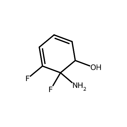 NC1(F)C(F)=CC=CC1O